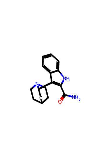 NC(=O)c1[nH]c2ccccc2c1C1CC2CCN1CC2